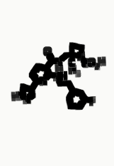 C[C@]1(CNC(=O)c2ccc(-c3cn[nH]c3)nc2NCCc2cccc(F)c2)CCN1C(=O)O